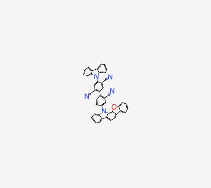 N#Cc1cc(-n2c3ccccc3c3ccc4c5ccccc5oc4c32)ccc1-c1cc(C#N)c(-n2c3ccccc3c3ccccc32)cc1C#N